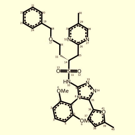 COc1cccc(OC)c1-n1c(NS(=O)(=O)[C@H](CCOCc2ccccc2)Cc2ncc(C)cn2)nnc1-c1ccc(C)o1